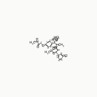 CNC(=O)COc1ccc(CC(C)NCC(OC(C)C)c2cccc(Cl)c2)cc1.Cl.Cl.O